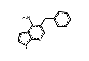 CNc1c(Cc2ccccc2)cnc2[nH]ccc12